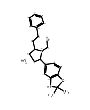 CC1(C)Oc2ccc(C3CCC(CCc4ccccc4)N3CO)cc2S1.Cl